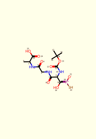 CC(NC(=O)CNC(=O)C(NC(=O)OC(C)(C)C)/C(O)=[P+](\[O-])S)C(=O)O